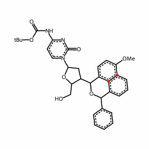 COc1ccc(C(OC(c2ccccc2)c2ccccc2)C2CC(n3ccc(NC(=O)OC(C)(C)C)nc3=O)OC2CO)cc1